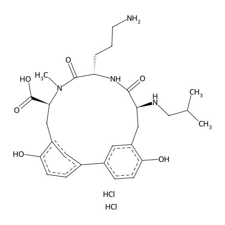 CC(C)CN[C@H]1Cc2cc(ccc2O)-c2ccc(O)c(c2)C[C@@H](C(=O)O)N(C)C(=O)[C@H](CCCN)NC1=O.Cl.Cl